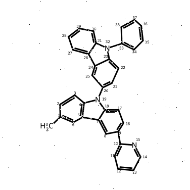 Cc1ccc2c(c1)c1cc(-c3ccccn3)ccc1n2-c1ccc2c(c1)c1ccccc1n2-c1ccccc1